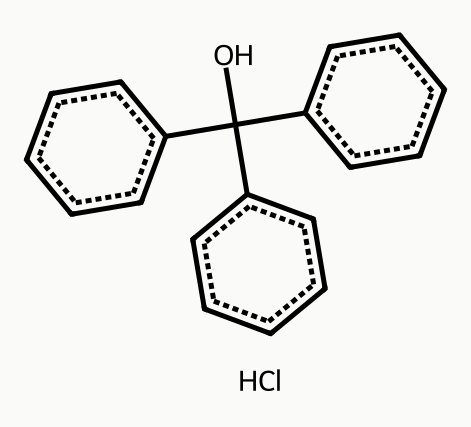 Cl.OC(c1ccccc1)(c1ccccc1)c1ccccc1